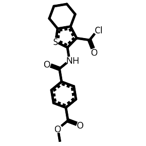 COC(=O)c1ccc(C(=O)Nc2sc3c(c2C(=O)Cl)CCCC3)cc1